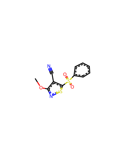 COc1nsc(S(=O)(=O)c2ccccc2)c1C#N